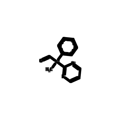 C[N+](C=O)(C1=NC=CC=[N+]1)c1ccccc1